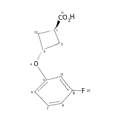 O=C(O)[C@H]1C[C@H](Oc2cccc(F)c2)C1